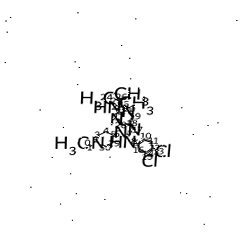 CCN1CCC(n2c(Nc3ccc(Cl)c(Cl)c3)nc3cnc(NC(C)(C)C)nc32)CC1